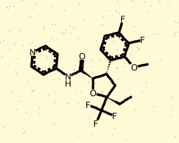 CC[C@]1(C(F)(F)F)C[C@@H](c2ccc(F)c(F)c2OC)[C@H](C(=O)Nc2ccncc2)O1